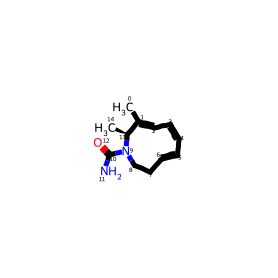 C\C1=C/C=C\C=C\CCN(C(N)=O)[C@H]1C